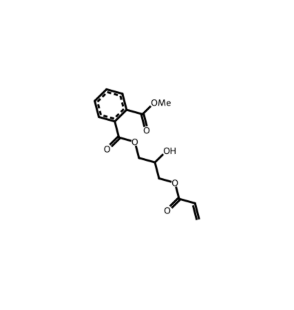 C=CC(=O)OCC(O)COC(=O)c1ccccc1C(=O)OC